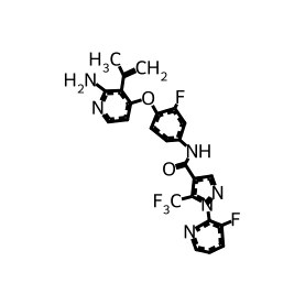 C=C(C)c1c(Oc2ccc(NC(=O)c3cnn(-c4ncccc4F)c3C(F)(F)F)cc2F)ccnc1N